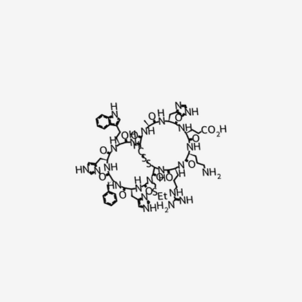 CCSCN1C(=O)N[C@@H](Cc2c[nH]cn2)C(=O)N[C@H](Cc2ccccc2)C(=O)N[C@@H](Cc2c[nH]cn2)C(=O)N[C@@H](CCc2c[nH]c3ccccc23)C(=O)N[C@H]2CSSC(NC(=O)[C@H](CCCNC(=N)N)NC(=O)[C@H](CCCN)NC(=O)[C@H](CCC(=O)O)NC(=O)[C@H](Cc3c[nH]cn3)NC(=O)[C@H](C)NC2=O)C1=O